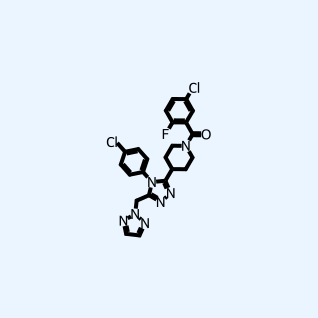 O=C(c1cc(Cl)ccc1F)N1CCC(c2nnc(Cn3nccn3)n2-c2ccc(Cl)cc2)CC1